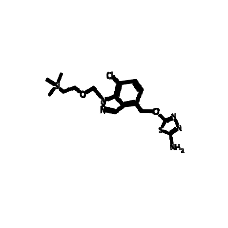 C[Si](C)(C)CCOCn1ncc2c(COc3nnc(N)s3)ccc(Cl)c21